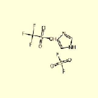 O=S(=O)(F)F.O=S(=O)(O)C(F)(F)F.c1c[nH]cn1